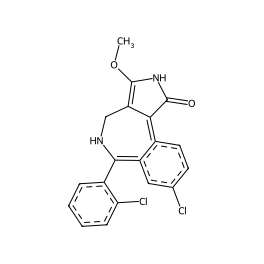 COC1=C2CNC(c3ccccc3Cl)=c3cc(Cl)ccc3=C2C(=O)N1